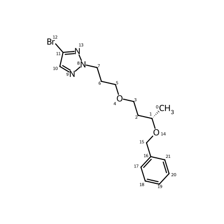 C[C@@H](CCOCCCn1ncc(Br)n1)OCc1ccccc1